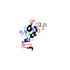 C=CCOC(=O)N(C)C1CN(c2c(F)c(C)c3c(=O)c(C(=O)O)cn(-c4cc(N)c(F)cc4CO)c3c2Cl)C1